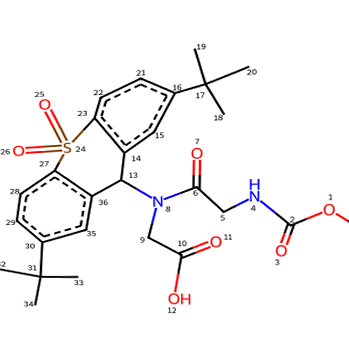 COC(=O)NCC(=O)N(CC(=O)O)C1c2cc(C(C)(C)C)ccc2S(=O)(=O)c2ccc(C(C)(C)C)cc21